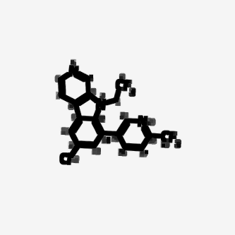 FC(F)(F)Cn1c2cnccc2c2cc(Cl)cc(-c3ccc(C(F)(F)F)nc3)c21